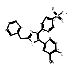 Cc1cc(-c2oc(Cc3ccccc3)nc2-c2ccc(S(C)(=O)=O)cc2)ccc1Cl